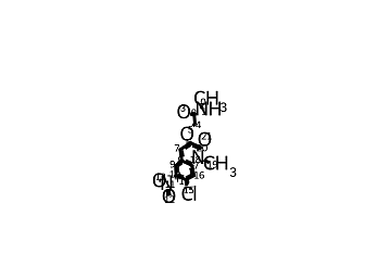 CNC(=O)COc1cc2cc([N+](=O)[O-])c(Cl)cc2n(C)c1=O